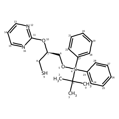 CC(C)(C)[Si](OC[C@@H](CS)Oc1ncccn1)(c1ccccc1)c1ccccc1